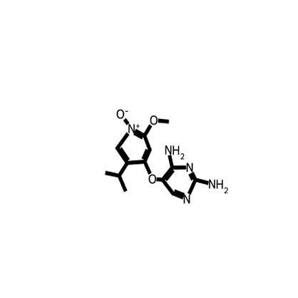 COc1cc(Oc2cnc(N)nc2N)c(C(C)C)c[n+]1[O-]